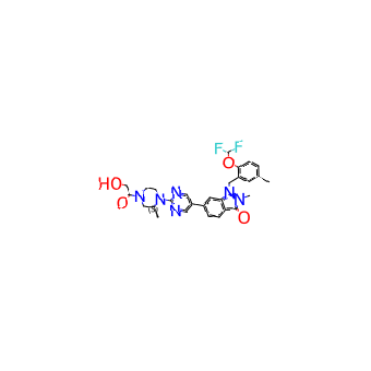 Cc1ccc(OC(F)F)c(Cn2c3cc(-c4cnc(N5CCN(C(=O)CO)C[C@@H]5C)nc4)ccc3c(=O)n2C)c1